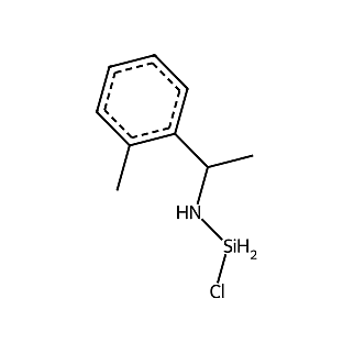 Cc1ccccc1C(C)N[SiH2]Cl